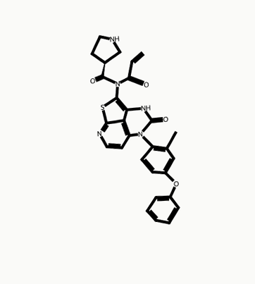 C=CC(=O)N(C(=O)[C@H]1CCNC1)c1sc2nccc3c2c1NC(=O)N3c1ccc(Oc2ccccc2)cc1C